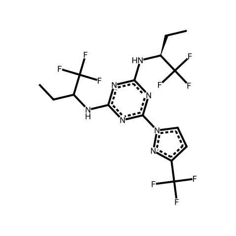 CCC(Nc1nc(N[C@@H](CC)C(F)(F)F)nc(-n2ccc(C(F)(F)F)n2)n1)C(F)(F)F